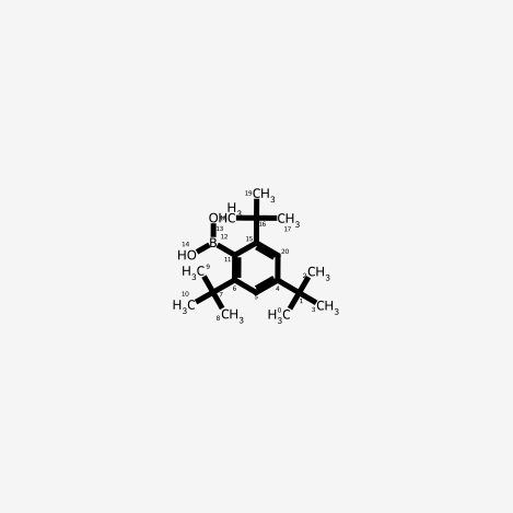 CC(C)(C)c1cc(C(C)(C)C)c(B(O)O)c(C(C)(C)C)c1